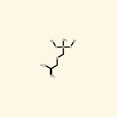 C=C(C)COC[Si](C)(OCC)OCC